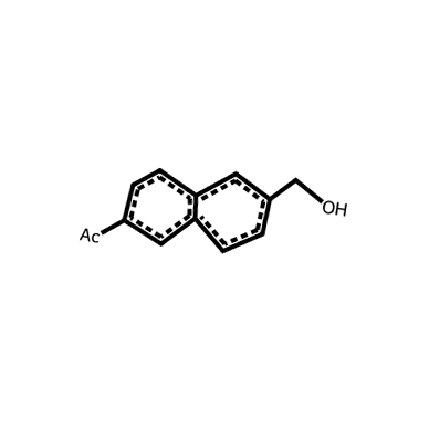 CC(=O)c1ccc2cc(CO)ccc2c1